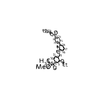 CCOc1cc(C(=O)N(C)OC)ccc1COc1cccc(N2CCN(C(=O)OC(C)(C)C)CC2)n1